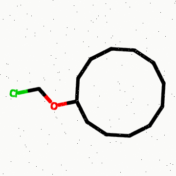 ClCOC1CCCCCCCCCCC1